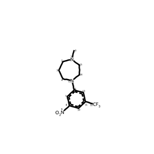 CN1CCCN(c2cc([N+](=O)[O-])cc(C(F)(F)F)c2)CC1